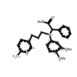 CNC(=O)C(c1ccccc1)N(CCCc1ccc(C(F)(F)F)nc1)c1ccc(OC)c(OC)c1